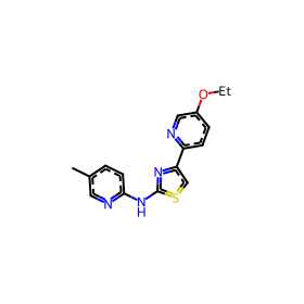 CCOc1ccc(-c2csc(Nc3ccc(C)cn3)n2)nc1